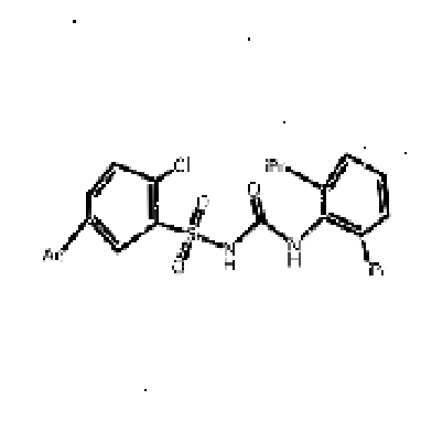 CC(=O)c1ccc(Cl)c(S(=O)(=O)NC(=O)Nc2c(C(C)C)cccc2C(C)C)c1